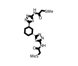 CSCC(=O)Nc1nnc([C@@H]2CCC[C@@H](c3nnc(NC(=O)CSC)s3)C2)s1